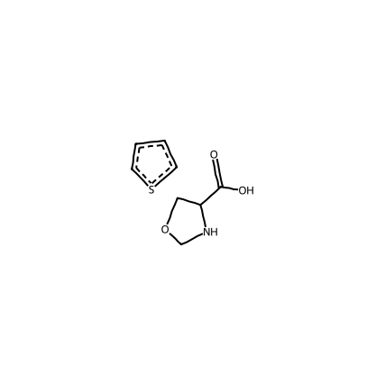 O=C(O)C1COCN1.c1ccsc1